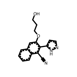 N#Cc1c(-c2ccn[nH]2)c(OCCCO)cc2ccccc12